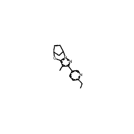 CCc1ccc(-c2nn3c(c2C)OC2CCC3C2)cn1